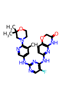 Cc1cc(Nc2ncc(F)c(Nc3ccc4c(n3)NC(=O)CO4)n2)cnc1N1CCOC(C)(C)C1